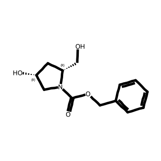 O=C(OCc1ccccc1)N1C[C@H](O)C[C@@H]1CO